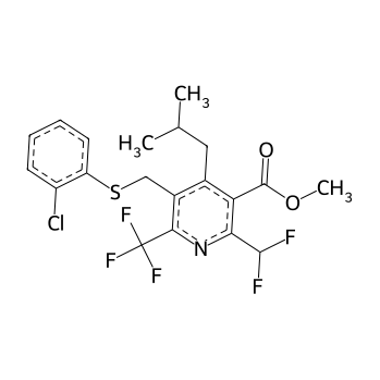 COC(=O)c1c(C(F)F)nc(C(F)(F)F)c(CSc2ccccc2Cl)c1CC(C)C